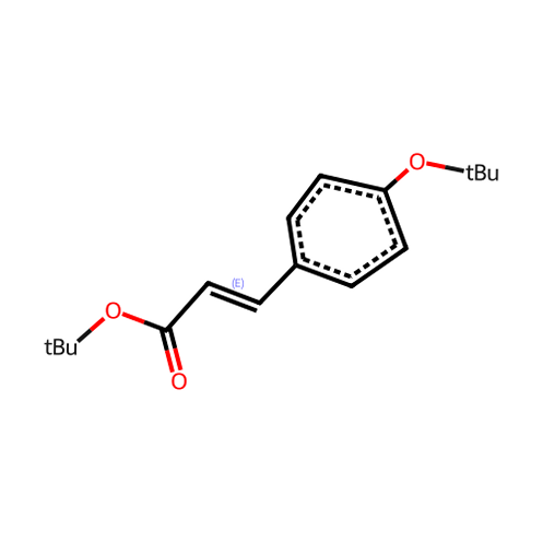 CC(C)(C)OC(=O)/C=C/c1ccc(OC(C)(C)C)cc1